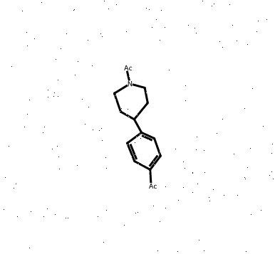 CC(=O)c1ccc(C2CCN(C(C)=O)CC2)cc1